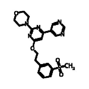 CS(=O)(=O)c1cccc(CCOc2cc(-c3cncnc3)nc(N3CCOCC3)n2)c1